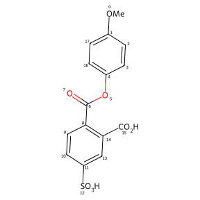 COc1ccc(OC(=O)c2ccc(S(=O)(=O)O)cc2C(=O)O)cc1